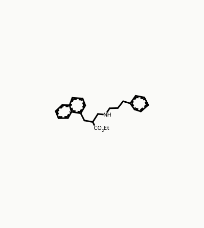 CCOC(=O)C(CNCCCc1ccccc1)Cc1cccc2ccccc12